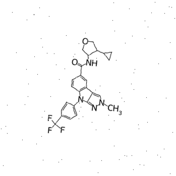 Cn1cc2c3cc(C(=O)NC4COCC4C4CC4)ccc3n(-c3ccc(C(F)(F)F)cc3)c2n1